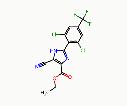 CCOC(=O)c1nc(-c2c(Cl)cc(C(F)(F)F)cc2Cl)[nH]c1C#N